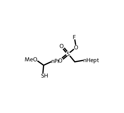 CCCC(S)OC.CCCCCCCCS(=O)(=O)OF